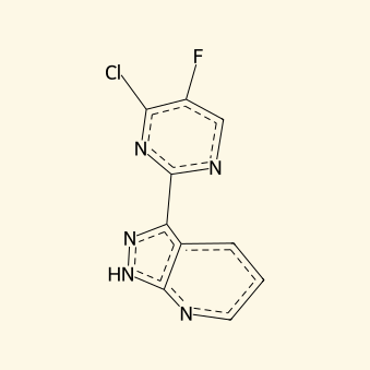 Fc1cnc(-c2n[nH]c3ncccc23)nc1Cl